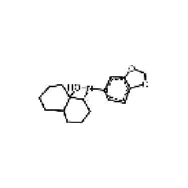 OC12CCCCC1CCC[C@@H]2Nc1ccc2c(c1)OCO2